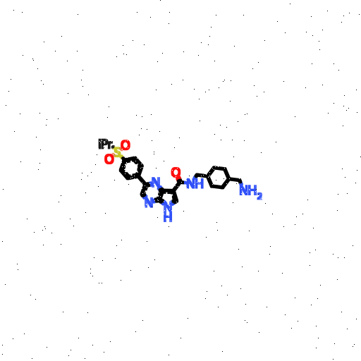 CC(C)S(=O)(=O)c1ccc(-c2cnc3[nH]cc(C(=O)NCC4CCC(CN)CC4)c3n2)cc1